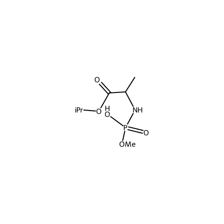 COP(=O)(O)NC(C)C(=O)OC(C)C